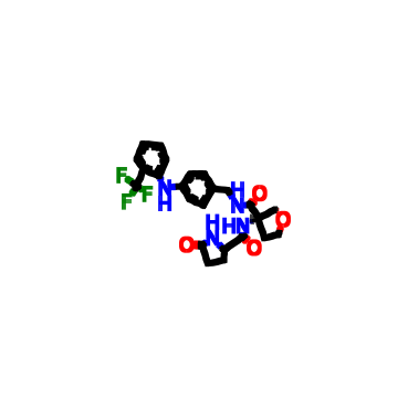 O=C1CCC(C(=O)N[C@@]2(C(=O)NCc3ccc(Nc4ccccc4C(F)(F)F)cc3)CCOC2)N1